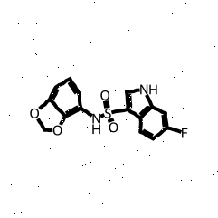 O=S(=O)(Nc1cccc2c1OCO2)c1c[nH]c2cc(F)ccc12